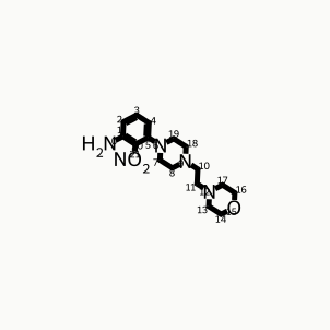 Nc1cccc(N2CCN(CCN3CCOCC3)CC2)c1[N+](=O)[O-]